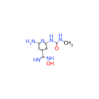 CNC(=O)Nc1cc(C(=N)NO)cc(N)n1